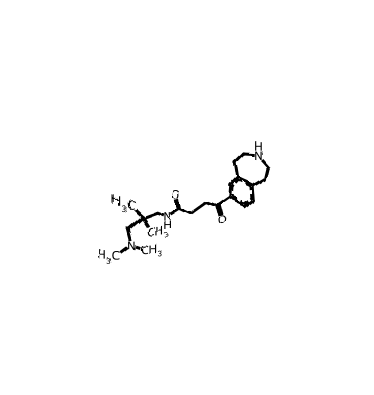 CN(C)CC(C)(C)CNC(=O)CCC(=O)c1ccc2c(c1)CCNCC2